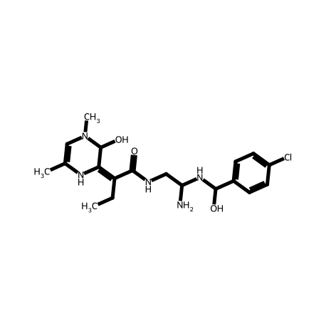 CC/C(C(=O)NCC(N)NC(O)c1ccc(Cl)cc1)=C1\NC(C)=CN(C)C1O